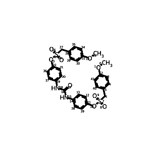 COc1ccc(CS(=O)(=O)Oc2ccc(NC(=O)Nc3ccc(OS(=O)(=O)Cc4ccc(OC)cc4)cc3)cc2)cc1